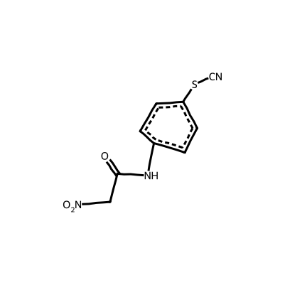 N#CSc1ccc(NC(=O)C[N+](=O)[O-])cc1